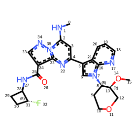 CNc1cc(-c2cn([C@@H]3CCOC[C@@H]3OC)c3ncccc23)nc2c(C(=O)NC3CC[C@H]3F)cnn12